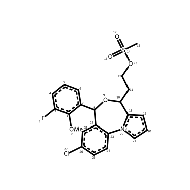 COc1c(F)cccc1C1OC(CCOS(C)(=O)=O)c2cccn2-c2ccc(Cl)cc21